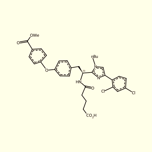 CCCCn1cc(-c2ccc(Cl)cc2Cl)nc1[C@H](Cc1ccc(Oc2ccc(C(=O)OC)cc2)cc1)NC(=O)CCCC(=O)O